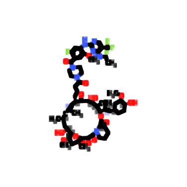 CCNc1nc(Nc2cc(F)c(C(=O)N3CCN(C(=O)CCC[C@@H]4/C=C(\C)C[C@H](C)C[C@H](O)[C@H]5O[C@@](O)(C(=O)C(=O)N6CCCC[C@H]6C(=O)O[C@H](/C(C)=C/[C@@H]6CC[C@@H](O)[C@H](OC)C6)[C@H](C)[C@@H](O)CC4=O)[C@H](C)C[C@@H]5OC)CC3)cc2OC)ncc1C(F)(F)F